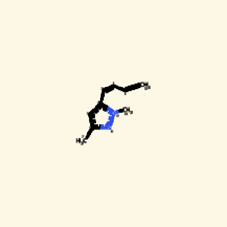 C=C/C=C\c1cc(C)nn1C